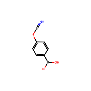 N=BOc1ccc(B(O)O)cc1